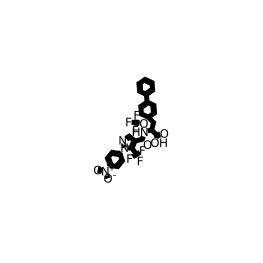 O=C(NC(CC1(OC(F)(F)F)C=CC(c2ccccc2)=CC1)C(=O)O)c1cnn(-c2ccc([N+](=O)[O-])cc2)c1C(F)(F)F